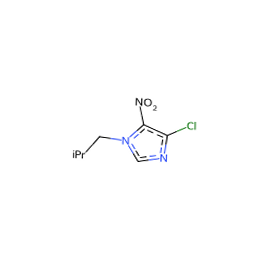 CC(C)Cn1cnc(Cl)c1[N+](=O)[O-]